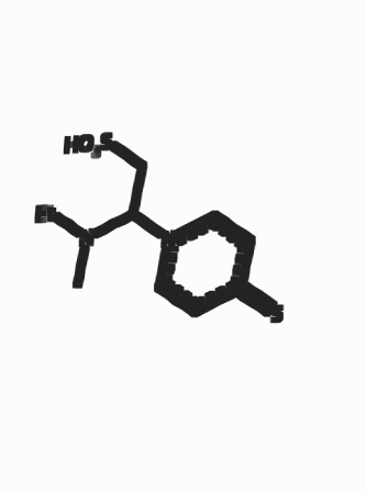 CCN(C)C(CS(=O)(=O)O)n1ccc(=S)cc1